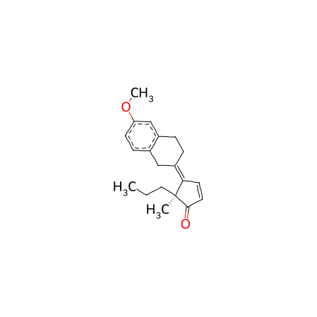 CCC[C@]1(C)C(=O)C=C/C1=C1\CCc2cc(OC)ccc2C1